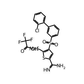 CSc1sc(C(=N)N)cc1S(=O)(=O)c1cccc(-c2ccccc2Cl)c1.O=C(O)C(F)(F)F